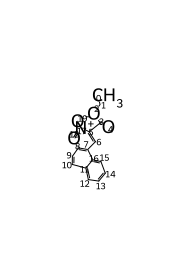 CCOC(=O)C(=Cc1cccc2ccccc12)[N+](=O)[O-]